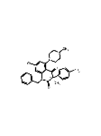 CN1CCN(c2cc(Cl)cc3c2C(=O)[C@@](C)(c2ccc(N)cc2)C(=O)N3Cc2ccccc2)CC1